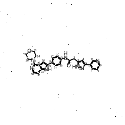 O=C(Cc1cc(-c2cccnc2)n[nH]1)Nc1ccc(-c2cc3c(N4CCOCC4)nccc3[nH]2)cc1